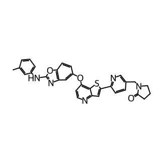 Cc1cccc(Nc2nc3cc(Oc4ccnc5cc(-c6ccc(CN7CCCC7=O)cn6)sc45)ccc3o2)c1